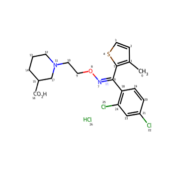 Cc1ccsc1/C(=N\OCCN1CCCC(C(=O)O)C1)c1ccc(Cl)cc1Cl.Cl